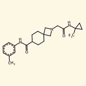 Cc1cccc(NC(=O)C2CCC3(CC2)CN(CC(=O)NC2(C(F)(F)F)CC2)C3)c1